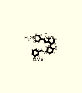 COc1cccc(CNc2ccc(F)c(-c3ccnc4[nH]c(C5CCN(C)CC5)cc34)c2)c1